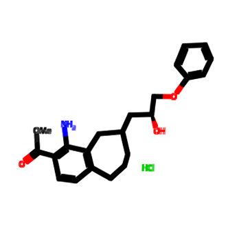 COC(=O)c1ccc2c(c1N)CC(C[C@H](O)COc1ccccc1)CCC2.Cl